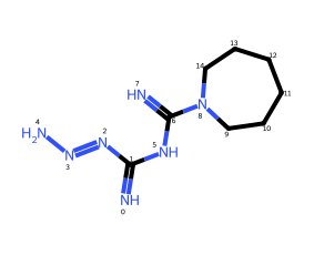 N=C(N=NN)NC(=N)N1CCCCCC1